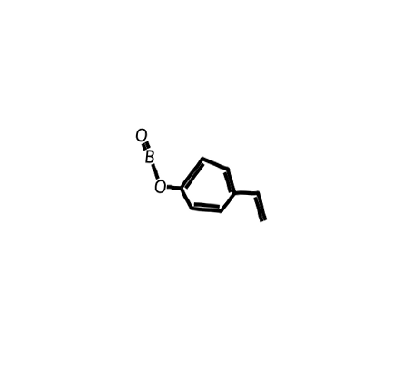 C=Cc1ccc(OB=O)cc1